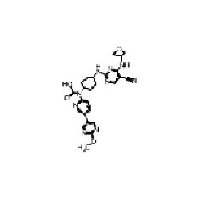 COc1ncc(-c2ccc(N(C(=O)O)[C@H]3CC[C@H](Nc4ncc(C#N)c(NC5COC5)n4)CC3)nc2)cn1